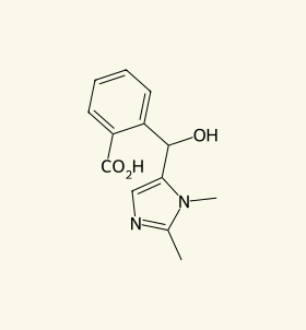 Cc1ncc(C(O)c2ccccc2C(=O)O)n1C